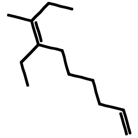 C=CCCCC/C(CC)=C(/C)CC